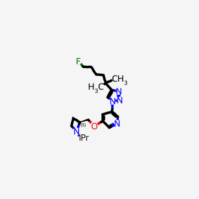 CC(C)N1CC[C@H]1COc1cncc(-n2cc(C(C)(C)CCCCF)nn2)c1